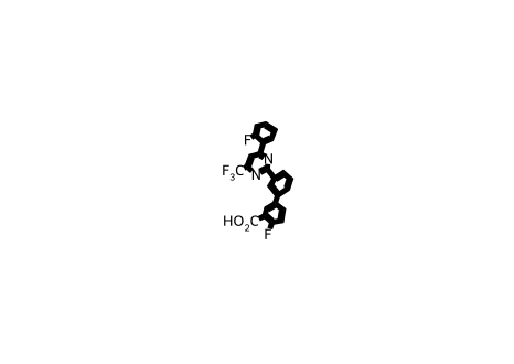 O=C(O)c1cc(-c2cccc(-c3nc(-c4ccccc4F)cc(C(F)(F)F)n3)c2)ccc1F